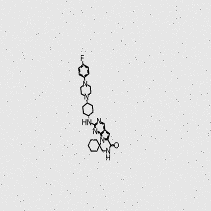 O=C1NCC2(CCCCC2)n2c1cc1cnc(N[C@H]3CC[C@H](N4CCN(c5ccc(F)cc5)CC4)CC3)nc12